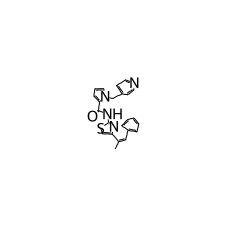 CC(=Cc1ccccc1)c1csc(NC(=O)c2cccn2Cc2ccncc2)n1